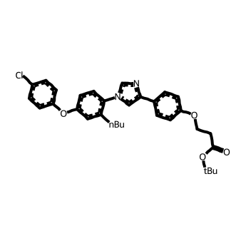 CCCCc1cc(Oc2ccc(Cl)cc2)ccc1-n1cnc(-c2ccc(OCCC(=O)OC(C)(C)C)cc2)c1